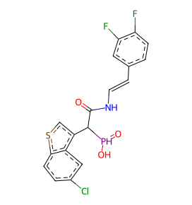 O=C(N/C=C/c1ccc(F)c(F)c1)C(c1csc2ccc(Cl)cc12)[PH](=O)O